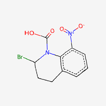 O=C(O)N1c2c(cccc2[N+](=O)[O-])CCC1Br